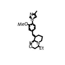 CCC1CON=C2/C(=C/c3ccc(-n4cnc(C)c4)c(OC)c3)CCCN21